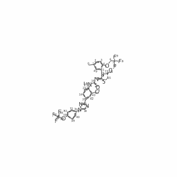 Cc1ccc(OCC(F)(F)F)c(N2C(=O)CSC2=NC(=O)Nc2ccc(-c3ncn(-c4ccc(OC(F)(F)F)cc4)n3)cc2Cl)c1